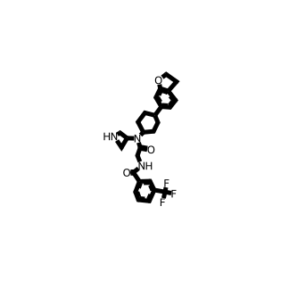 O=C(NCC(=O)N(C1CCC(c2ccc3c(c2)OCC3)CC1)C1CNC1)c1cccc(C(F)(F)F)c1